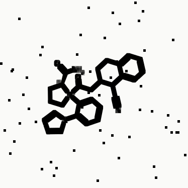 N#CC1c2ccccc2CCC1CC(=O)[N+]1(c2ccccc2-n2cccc2)CCC[C@H]1C(N)=O